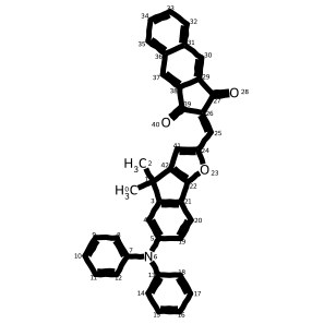 CC1(C)c2cc(N(c3ccccc3)c3ccccc3)ccc2-c2oc(C=C3C(=O)c4cc5ccccc5cc4C3=O)cc21